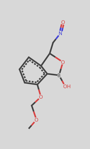 COCOc1cccc2c1B(O)OC2CN=O